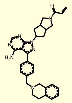 C=CC(=O)N1CC2CC(n3nc(-c4ccc(CN5CCc6ccccc6C5)cc4)c4c(N)ncnc43)CC2C1